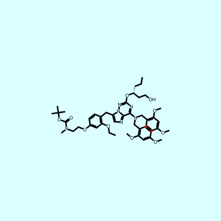 CCC[C@H](CCO)Oc1nc(N(Cc2ccc(OC)cc2OC)Cc2ccc(OC)cc2OC)c2ncc(Cc3ccc(OCCN(C)C(=O)OC(C)(C)C)cc3OCC)n2n1